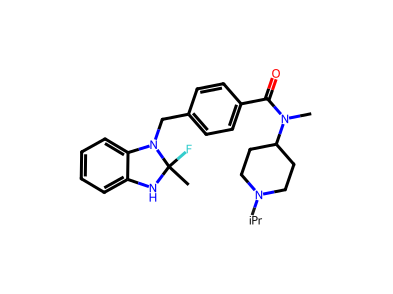 CC(C)N1CCC(N(C)C(=O)c2ccc(CN3c4ccccc4NC3(C)F)cc2)CC1